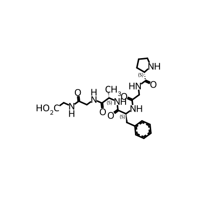 C[C@H](NC(=O)[C@H](Cc1ccccc1)NC(=O)CNC(=O)[C@@H]1CCCN1)C(=O)NCC(=O)NCC(=O)O